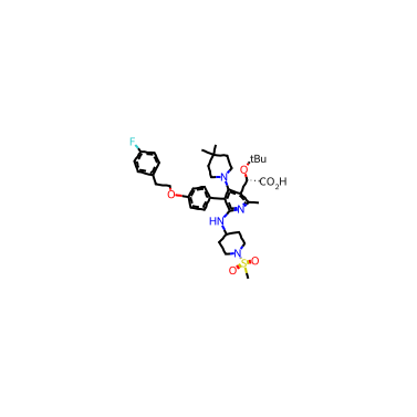 Cc1nc(NC2CCN(S(C)(=O)=O)CC2)c(-c2ccc(OCCc3ccc(F)cc3)cc2)c(N2CCC(C)(C)CC2)c1[C@H](OC(C)(C)C)C(=O)O